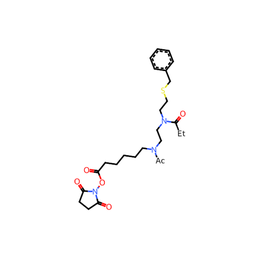 CCC(=O)N(CCSCc1ccccc1)CCN(CCCCCC(=O)ON1C(=O)CCC1=O)C(C)=O